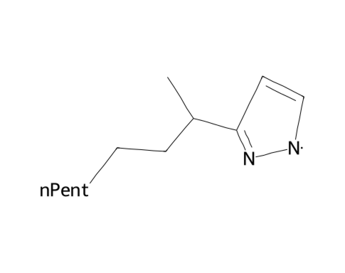 CCCCCCCC(C)C1=N[N]C=C1